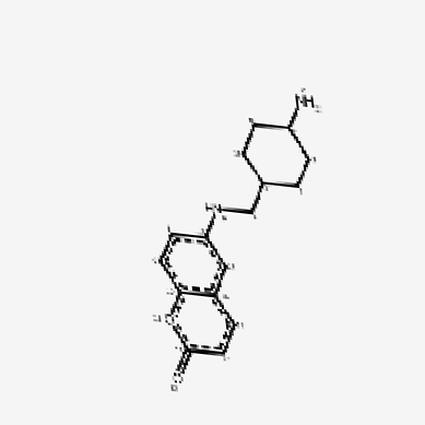 NC1CCC(CNc2ccc3oc(=O)ccc3c2)CC1